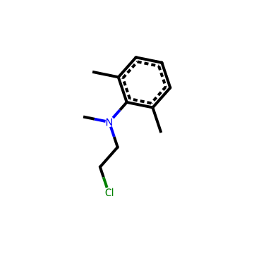 Cc1cccc(C)c1N(C)CCCl